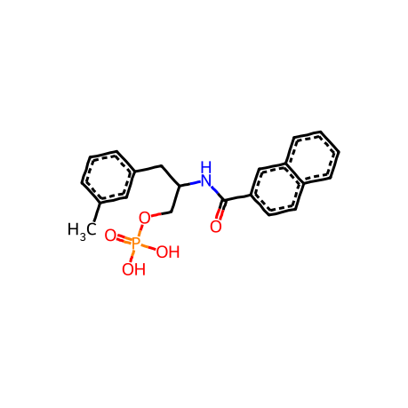 Cc1cccc(CC(COP(=O)(O)O)NC(=O)c2ccc3ccccc3c2)c1